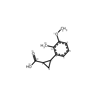 COc1cccc(C2CC2C(=O)O)c1C